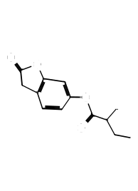 CCC(I)C(=O)Oc1ccc2c(c1)OC(=O)C2